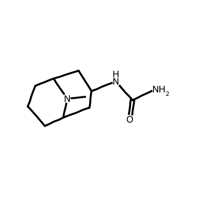 CN1C2CCCC1CC(NC(N)=O)C2